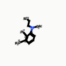 CC(=O)ON(CCC#N)c1cccc(C)c1C(C)C